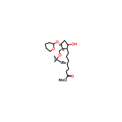 COC(=O)CCCCCCC1C(O)C[C@@H](OC2CCCCO2)[C@@H]1CO[Si](C)(C)C(C)(C)C